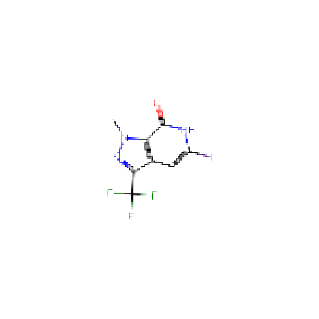 Cn1nc(C(F)(F)F)c2cc(I)[nH]c(=O)c21